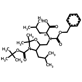 CC(C)CC1C(CN(C(=O)OCc2ccccc2)[C@@H](CC(C)C)C(=O)O)OC(C)(C)N1C(=O)OC(C)(C)C